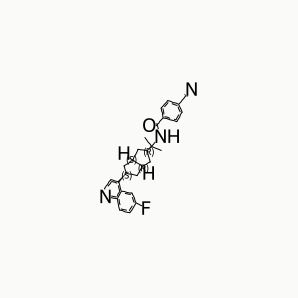 CC(C)(NC(=O)c1ccc(C#N)cc1)[C@H]1C[C@H]2C[C@@H](c3ccnc4ccc(F)cc34)C[C@H]2C1